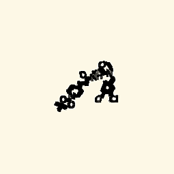 CC(C)(C)OC(=O)N1CCC(CCC(=O)NC[C@H]2CN(Cc3ccc(Cl)c(Cl)c3)CCO2)CC1